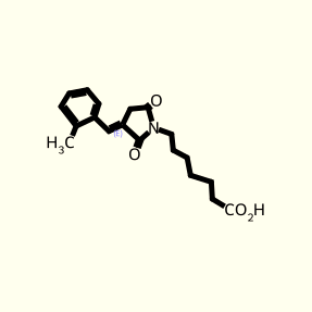 Cc1ccccc1/C=C1\CC(=O)N(CCCCCCC(=O)O)C1=O